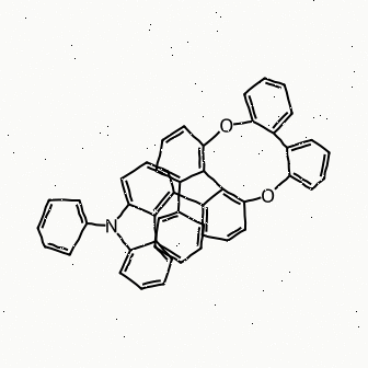 c1ccc(-c2cccc3c2-c2c(cccc2-c2cccc4c2c2ccccc2n4-c2ccccc2)Oc2ccccc2-c2ccccc2O3)cc1